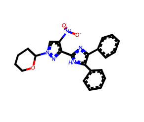 O=[N+]([O-])c1cn(C2CCCCO2)nc1-c1nc(-c2ccccc2)c(-c2ccccc2)[nH]1